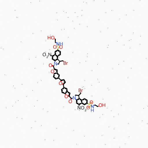 O=C(c1cc2cc(-c3ccc(-c4ccc5oc(C(=O)N6CC(CBr)c7c6cc([N+](=O)[O-])c6cc(S(=O)(=O)NCCO)ccc76)cc5c4)o3)ccc2o1)N1CC(CBr)c2c1cc([N+](=O)[O-])c1cc(S(=O)(=O)NCCO)ccc21